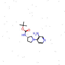 CC(C)(C)OC(=O)N[C@H]1CCN(c2ccncc2N)C1